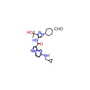 CC(C)(O)c1nn([C@H]2CC[C@H](C=O)CC2)cc1NC(=O)c1cnn2ccc(NCC3CC3)nc12